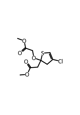 COC(=O)COC1(CC(=O)OC)CC(Cl)=CS1